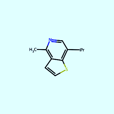 Cc1ncc(C(C)C)c2sccc12